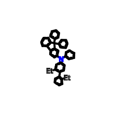 CCc1ccccc1-c1ccc(N(c2ccccc2)c2ccc3c(c2)C(c2ccccc2)(c2ccccc2)c2ccccc2-3)cc1CC